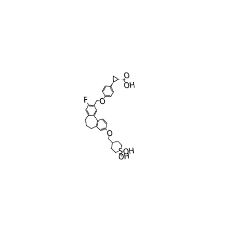 O=C(O)[C@H]1C[C@@H]1c1ccc(OCc2cc3c(cc2F)CCCc2cc(OCC4CCS(O)(O)CC4)ccc2-3)cc1